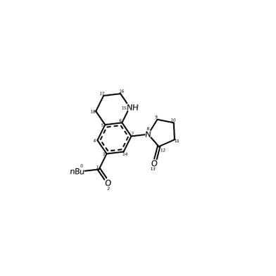 CCCCC(=O)c1cc2c(c(N3CCCC3=O)c1)NCCC2